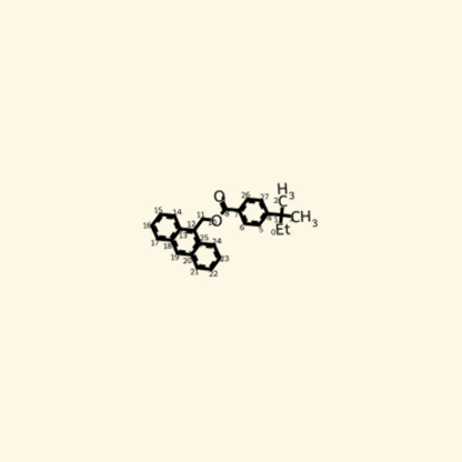 CCC(C)(C)c1ccc(C(=O)OCc2c3ccccc3cc3ccccc23)cc1